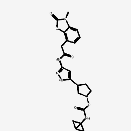 Cn1c(=O)oc2c(CC(=O)Nc3cc(C4CC[C@@H](OC(=O)NC56CC5C6)C4)[nH]n3)cccc21